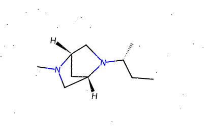 CC[C@@H](C)N1C[C@@H]2C[C@H]1CN2C